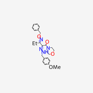 CCC(=N\OCc1ccccc1)/C(=N/NCc1ccc(OC)cc1)C(=O)N1CCOCC1